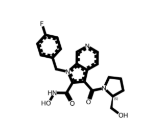 O=C(NO)c1c(C(=O)N2CCC[C@H]2CO)c2ccncc2n1Cc1ccc(F)cc1